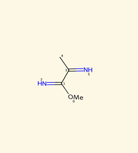 COC(=N)C(C)=N